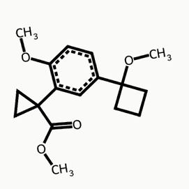 COC(=O)C1(c2cc(C3(OC)CCC3)ccc2OC)CC1